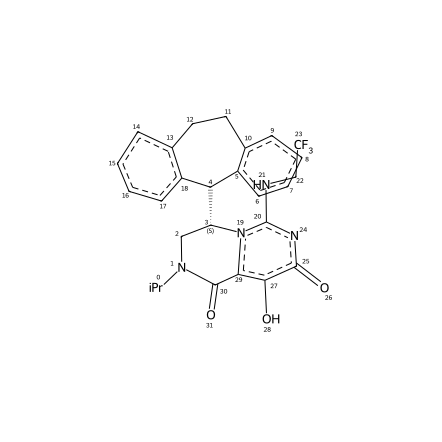 CC(C)N1C[C@H](C2c3ccccc3CCc3ccccc32)n2c(NCC(F)(F)F)nc(=O)c(O)c2C1=O